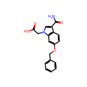 NC(=O)c1cn(CC(=O)O)c2cc(OCc3ccccc3)ccc12